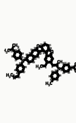 C=Cc1cc2c(cc1/C=C(\C)N(c1ccc(C)cc1)c1ccc(C(C)C)cc1)oc1ccc3oc4cc5cc(N(c6ccc(/C=N\C)cc6)c6ccc(C(C)C)cc6)ccc5cc4c3c12